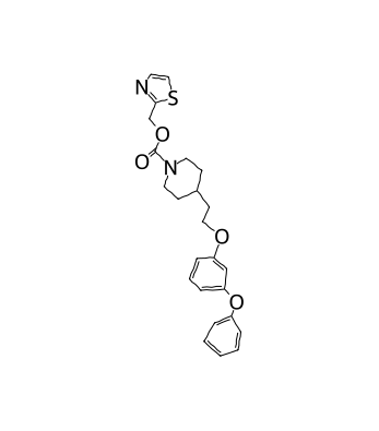 O=C(OCc1nccs1)N1CCC(CCOc2cccc(Oc3ccccc3)c2)CC1